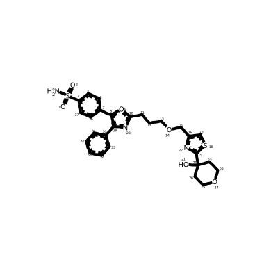 NS(=O)(=O)c1ccc(-c2oc(CCCOCc3csc(C4(O)CCOCC4)n3)nc2-c2ccccc2)cc1